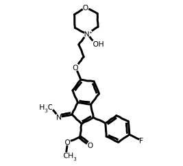 C/N=C1/C(C(=O)OC)=C(c2ccc(F)cc2)c2ccc(OCC[N+]3(O)CCOCC3)cc21